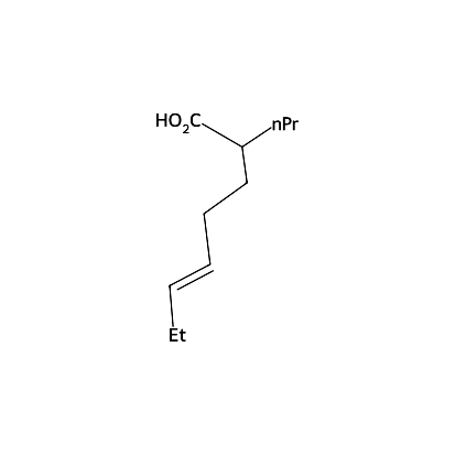 CCC=CCCC(CCC)C(=O)O